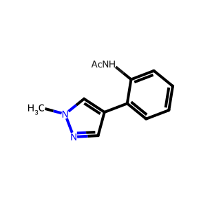 CC(=O)Nc1ccccc1-c1cnn(C)c1